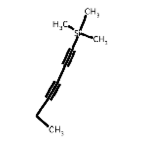 CCC#CC#C[Si](C)(C)C